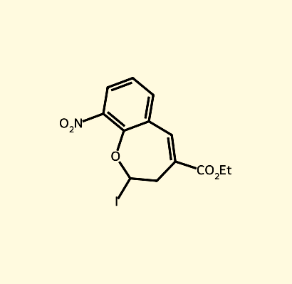 CCOC(=O)C1=Cc2cccc([N+](=O)[O-])c2OC(I)C1